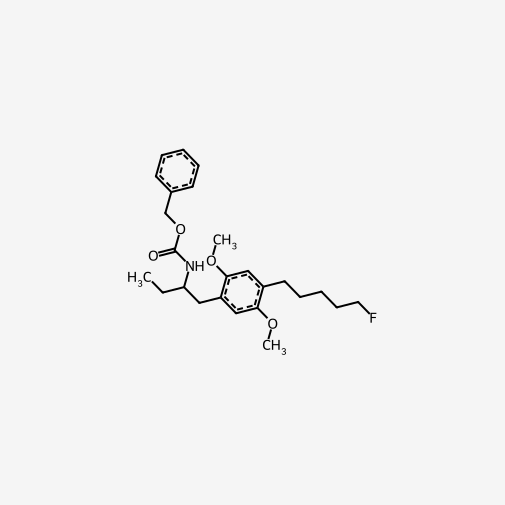 CCC(Cc1cc(OC)c(CCCCCF)cc1OC)NC(=O)OCc1ccccc1